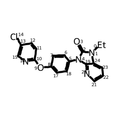 CCn1c(=O)n(-c2ccc(Oc3ccc(Cl)cn3)cc2)c2ncccc21